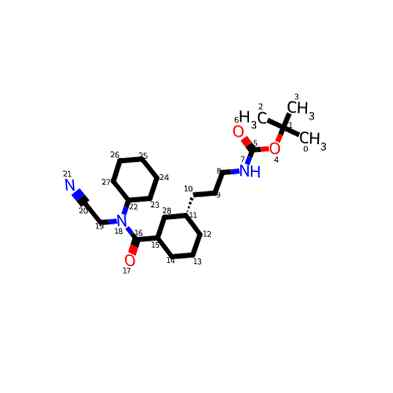 CC(C)(C)OC(=O)NCCC[C@@H]1CCCC(C(=O)N(CC#N)C2CCCCC2)C1